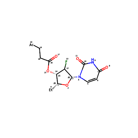 CC[C@H]1O[C@@H](n2ccc(=O)[nH]c2=O)C(F)[C@H]1OC(=O)CCC(C)=O